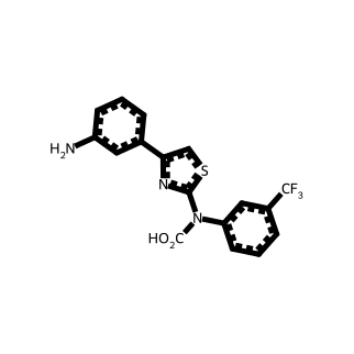 Nc1cccc(-c2csc(N(C(=O)O)c3cccc(C(F)(F)F)c3)n2)c1